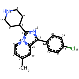 Cc1ccn2c(C3CCNCC3)nc(-c3ccc(Cl)cc3)c2c1